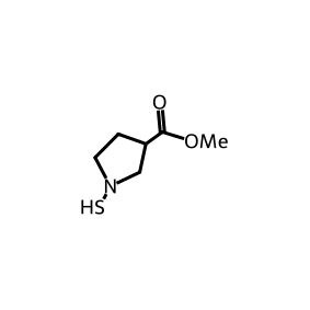 COC(=O)C1CCN(S)C1